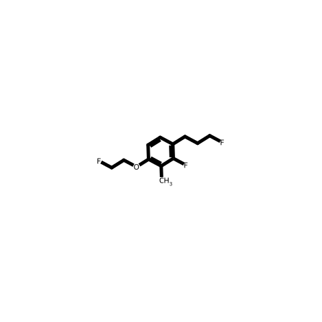 Cc1c(OCCF)ccc(CCCF)c1F